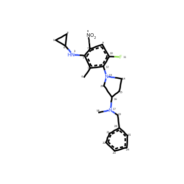 Cc1c(NC2CC2)c([N+](=O)[O-])cc(F)c1N1CCC(N(C)Cc2ccccc2)C1